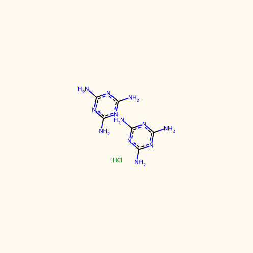 Cl.Nc1nc(N)nc(N)n1.Nc1nc(N)nc(N)n1